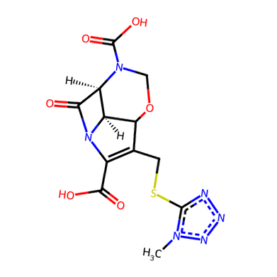 Cn1nnnc1SCC1=C(C(=O)O)N2C(=O)[C@@H]3[C@H]2C1OCN3C(=O)O